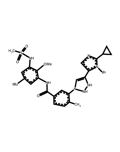 COc1c(NC(=O)c2ccc(C)c(N3C=C(c4cnc(C5CC5)n4C(C)C)NN3)c2)cc(C(C)(C)C)cc1NS(C)(=O)=O